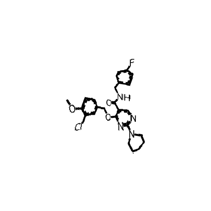 COc1ccc(COc2nc(N3C[CH]CCC3)ncc2C(=O)NCc2ccc(F)cc2)cc1Cl